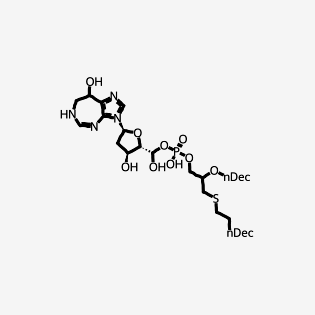 CCCCCCCCCCCCSCC(COP(=O)(O)OC(O)[C@H]1O[C@H](n2cnc3c2N=CNCC3O)C[C@@H]1O)OCCCCCCCCCC